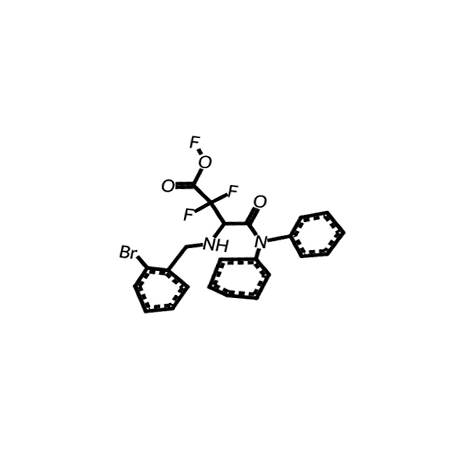 O=C(C(NCc1ccccc1Br)C(F)(F)C(=O)OF)N(c1ccccc1)c1ccccc1